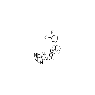 CC(Cn1cnc2c(N)ncnc21)OCP1(=O)OCC[C@@H](c2ccc(F)c(Cl)c2)O1